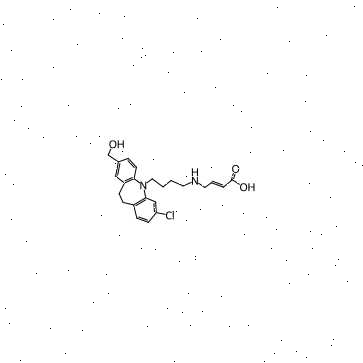 O=C(O)C=CCNCCCCN1c2ccc(CO)cc2CCc2ccc(Cl)cc21